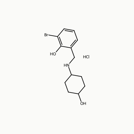 Cl.Oc1c(Br)cccc1CNC1CCC(O)CC1